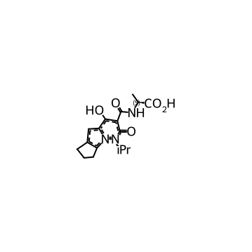 CC(C)n1c(=O)c(C(=O)N[C@@H](C)C(=O)O)c(O)c2cc3c(n21)CCC3